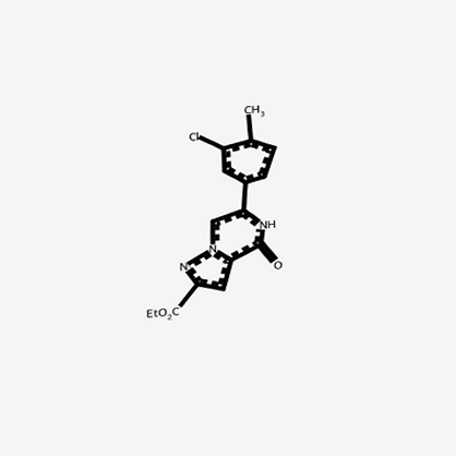 CCOC(=O)c1cc2c(=O)[nH]c(-c3ccc(C)c(Cl)c3)cn2n1